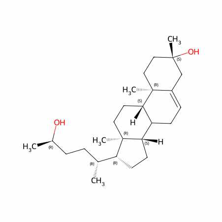 C[C@H](CC[C@@H](C)O)[C@H]1CC[C@H]2C3CC=C4C[C@@](C)(O)CC[C@]4(C)[C@H]3CC[C@]12C